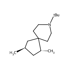 C[C@@H]1C[C@@H](C)C2(CCN(C(C)(C)C)CC2)C1